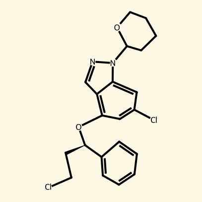 ClCC[C@@H](Oc1cc(Cl)cc2c1cnn2C1CCCCO1)c1ccccc1